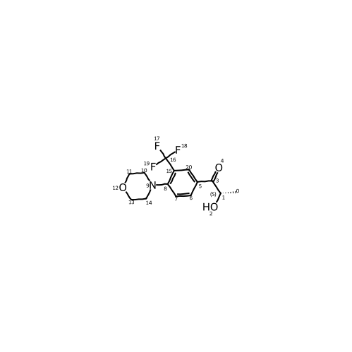 C[C@H](O)C(=O)c1ccc(N2CCOCC2)c(C(F)(F)F)c1